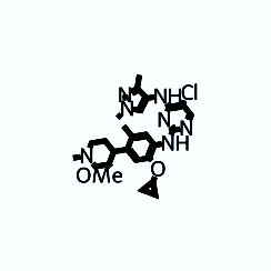 COC1CN(C)CCC1c1cc(OC2CC2)c(Nc2ncc(Cl)c(Nc3cn(C)nc3C)n2)cc1C